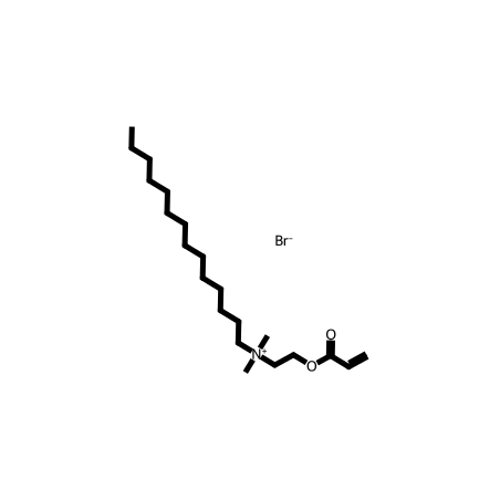 C=CC(=O)OCC[N+](C)(C)CCCCCCCCCCCCCC.[Br-]